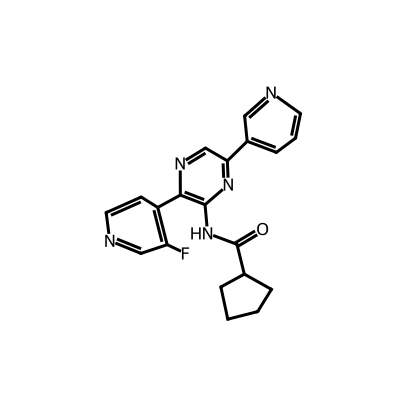 O=C(Nc1nc(-c2cccnc2)cnc1-c1ccncc1F)C1CCCC1